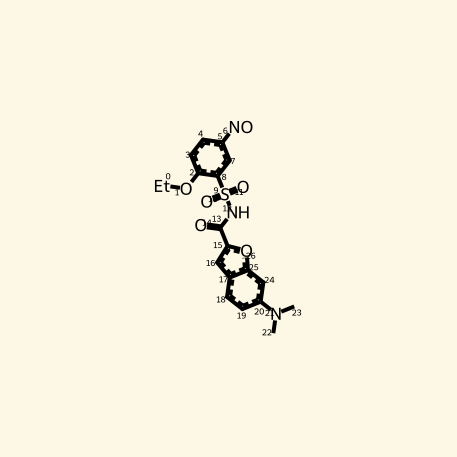 CCOc1ccc(N=O)cc1S(=O)(=O)NC(=O)c1cc2ccc(N(C)C)cc2o1